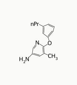 CCCc1cccc(Oc2ncc(N)cc2C)c1